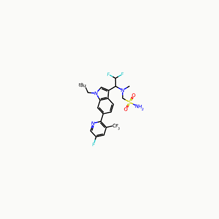 CN(CS(N)(=O)=O)C(c1cn(CC(C)(C)C)c2cc(-c3ncc(F)cc3C(F)(F)F)ccc12)C(F)F